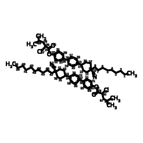 CCCCCCCCCC1(C#N)CCC(c2ccc(-c3ccc(OC(=O)C(Cl)CC(C)C)cc3)cc2)CC1.CCCCCCCCCCC1(C#N)CCC(c2ccc(-c3ccc(OC(=O)C(Cl)CC(C)C)cc3)cc2)CC1